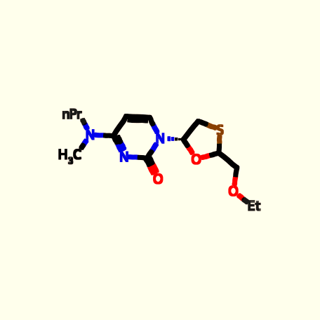 CCCN(C)c1ccn([C@@H]2CSC(COCC)O2)c(=O)n1